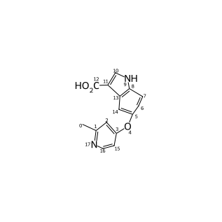 Cc1cc(Oc2ccc3[nH]cc(C(=O)O)c3c2)ccn1